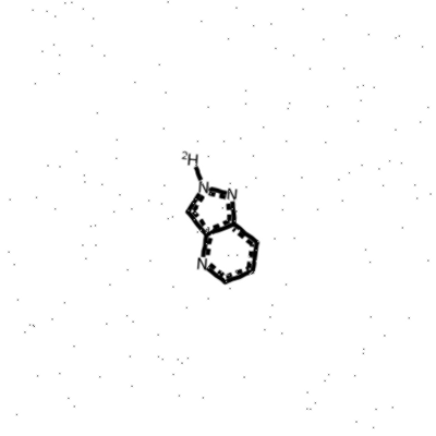 [2H]n1cc2ncccc2n1